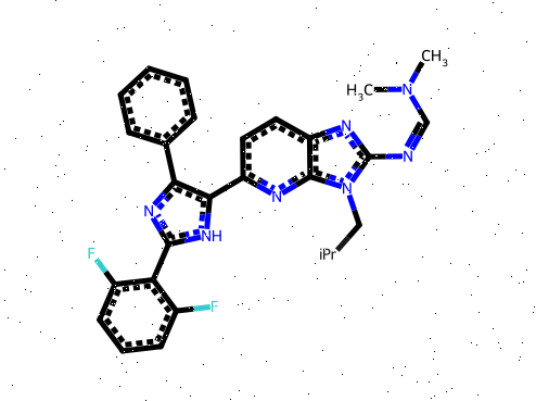 CC(C)Cn1c(/N=C\N(C)C)nc2ccc(-c3[nH]c(-c4c(F)cccc4F)nc3-c3ccccc3)nc21